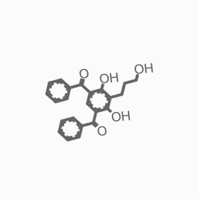 O=C(c1ccccc1)c1cc(C(=O)c2ccccc2)c(O)c(CCCO)c1O